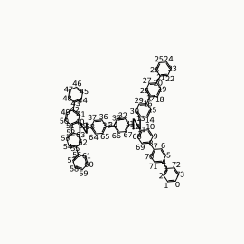 c1ccc(-c2ccc(-c3ccc(N(c4ccc(-c5ccc(-c6ccccc6)cc5)cc4)c4ccc(-c5ccc(-n6c7cc(-c8ccccc8)ccc7c7ccc(-c8ccccc8)cc76)cc5)cc4)cc3)cc2)cc1